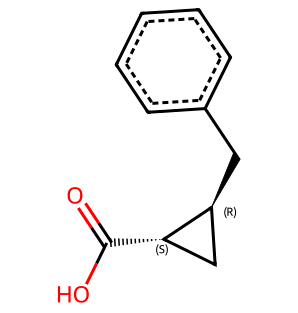 O=C(O)[C@H]1C[C@@H]1Cc1ccccc1